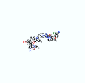 Cc1cc(Oc2ccc(C(C)(C)O)cc2-c2cn(C)c(=O)c3[nH]ccc23)cc(C)c1N1CC(CC2CCN(c3cnc(C(=O)NC4C(C)(C)C(Oc5ccc(C#N)c(Cl)c5)C4(C)C)cn3)CC2)C1